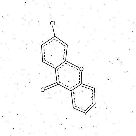 O=c1c2c[c]ccc2oc2cc(Cl)ccc12